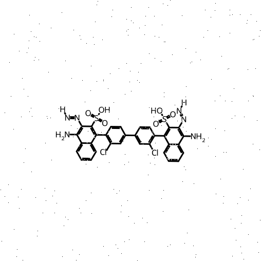 [H]/N=N/c1c(S(=O)(=O)O)c(-c2ccc(-c3ccc(-c4c(S(=O)(=O)O)c(/N=N/[H])c(N)c5ccccc45)c(Cl)c3)cc2Cl)c2ccccc2c1N